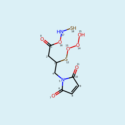 O=C(CC(CN1C(=O)C=CC1=O)SOOO)ONS